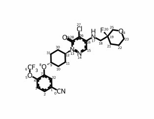 N#Cc1ccc(OC(F)(F)F)c(O[C@H]2CC[C@H](n3ncc(NC[C@@]4(F)CCCOC4)c(Cl)c3=O)CC2)c1